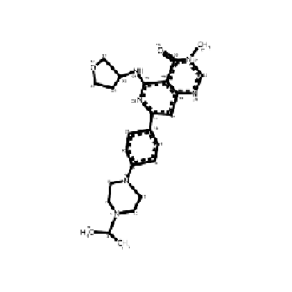 CC(C)N1CCN(c2ccc(-c3cc4ncn(C)c(=O)c4c(NC4CCOC4)n3)cc2)CC1